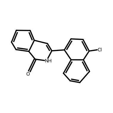 O=c1[nH]c(-c2ccc(Cl)c3ccccc23)cc2ccccc12